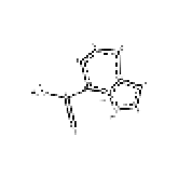 NC(=O)c1cc[c]c2ccnn12